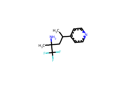 CC(CC(C)(N)C(F)(F)F)c1ccncc1